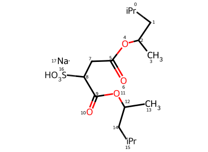 CC(C)CC(C)OC(=O)CC(C(=O)OC(C)CC(C)C)S(=O)(=O)O.[Na]